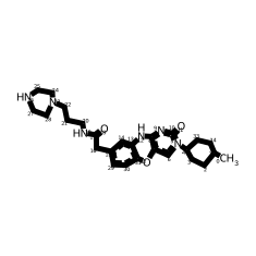 CC1CCC(n2cc3c(nc2=O)Nc2cc(CC(=O)NCCCN4CCNCC4)ccc2O3)CC1